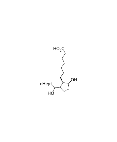 CCCCCCCC(O)[C@@H]1CC[C@H](O)[C@@H]1CCCCCCC(=O)O